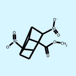 COC(=O)C12C3C4C5C(C1C53[N+](=O)[O-])C42[N+](=O)[O-]